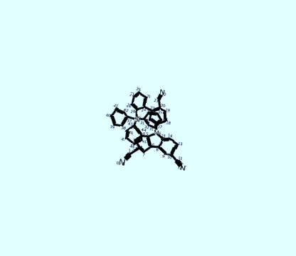 N#Cc1ccc2c(c1)c1cc(C#N)ccc1n2-c1ccc(C#N)c(-c2ccccc2[Si](c2ccccc2)(c2ccccc2)c2ccccc2)c1